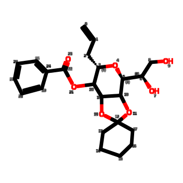 C=CC[C@@H]1O[C@@H]([C@H](O)CO)C2OC3(CCCCC3)OC2C1OC(=O)c1ccccc1